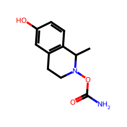 CC1c2ccc(O)cc2CCN1OC(N)=O